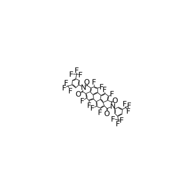 O=C1c2c(F)c(F)c3c4c(F)c(F)c5c6c(c(F)c(F)c(c7c(F)c(F)c(c2c37)C(=O)N1c1cc(C(F)(F)F)cc(C(F)(F)F)c1)c64)C(=O)N(c1cc(C(F)(F)F)cc(C(F)(F)F)c1)C5=O